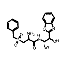 CCC[C@H](NC(=O)C(N)CS(=O)(=O)Cc1ccccc1)C(O)c1nc2ccccc2o1